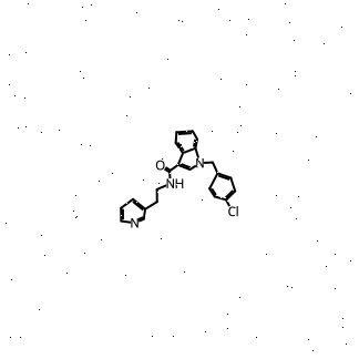 O=C(NCCc1cccnc1)c1cn(Cc2ccc(Cl)cc2)c2ccccc12